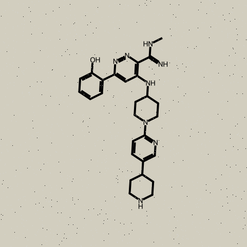 CNC(=N)c1nnc(-c2ccccc2O)cc1NC1CCN(c2ccc(C3CCNCC3)cn2)CC1